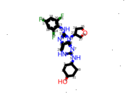 OC1CCC(NC2N=c3c(nc(Nc4c(F)cc(F)cc4F)n3C3CCOC3)=CN2)CC1